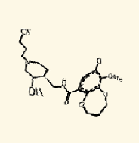 COc1c(Cl)cc(C(=O)NC[C@@H]2CCN(CCCC#N)CC2O)c2c1OCCCO2